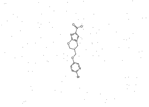 O=[N+]([O-])c1cn2c(n1)OCC(COc1ccc(Br)nc1)C2